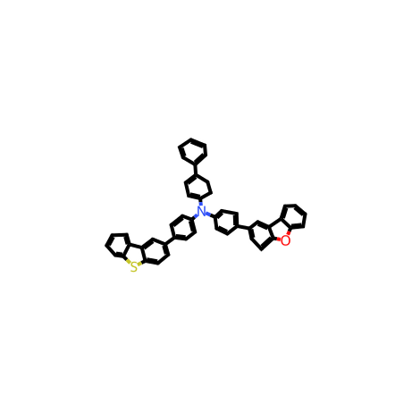 C1=C(c2ccccc2)CCC(N(c2ccc(-c3ccc4oc5ccccc5c4c3)cc2)c2ccc(-c3ccc4sc5ccccc5c4c3)cc2)=C1